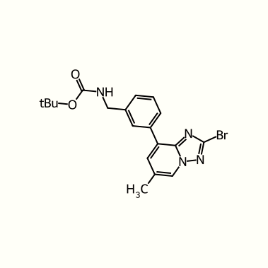 Cc1cc(-c2cccc(CNC(=O)OC(C)(C)C)c2)c2nc(Br)nn2c1